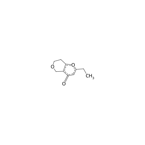 CCc1cc(=O)c2c(o1)CCOC2